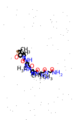 Cc1csc2c1[C@]13C[C@H]1CN(C(=O)Nc1cc(C(=O)Nc4cc(C(=O)Nc5cc(C(=O)NCCC(N)=O)n(C)c5)n(C)c4)n(C)c1)C3=CC2=O